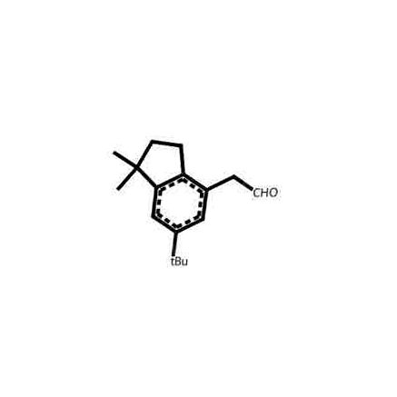 CC(C)(C)c1cc(CC=O)c2c(c1)C(C)(C)CC2